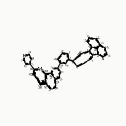 c1cc(-c2ccc3c(c2)-c2cccc4cccc-3c24)cc(-c2ccc3ccc4ccc(-c5ccncc5)nc4c3n2)c1